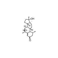 C[C@H]1C[C@@H]2[C@H](CC[C@@]3(C)[C@H]2CC[C@]3(C)O)[C@]2(CO)C1=CC(=O)C[C@@H]2C